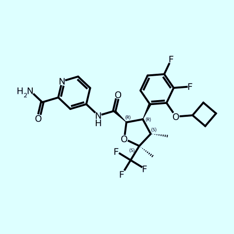 C[C@H]1[C@H](c2ccc(F)c(F)c2OC2CCC2)[C@H](C(=O)Nc2ccnc(C(N)=O)c2)O[C@]1(C)C(F)(F)F